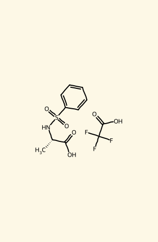 C[C@H](NS(=O)(=O)c1ccccc1)C(=O)O.O=C(O)C(F)(F)F